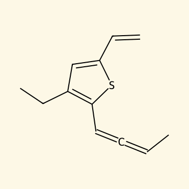 C=Cc1cc(CC)c(C=C=CC)s1